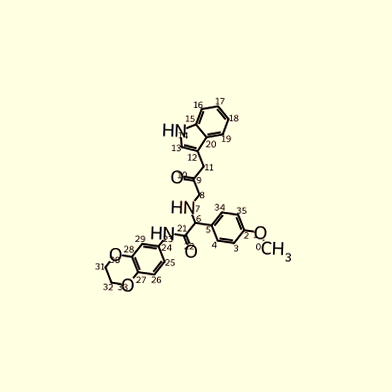 COc1ccc(C(NCC(=O)Cc2c[nH]c3ccccc23)C(=O)Nc2ccc3c(c2)OCCO3)cc1